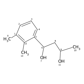 Cc1cccc(C(O)CC(C)O)c1C